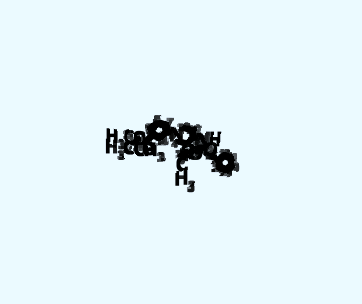 CCOC1CN(c2cccc(C(=O)OC(C)(C)C)c2)CCC1NC(=O)OCc1ccccc1